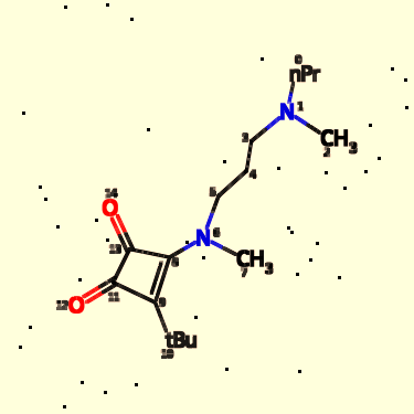 CCCN(C)CCCN(C)c1c(C(C)(C)C)c(=O)c1=O